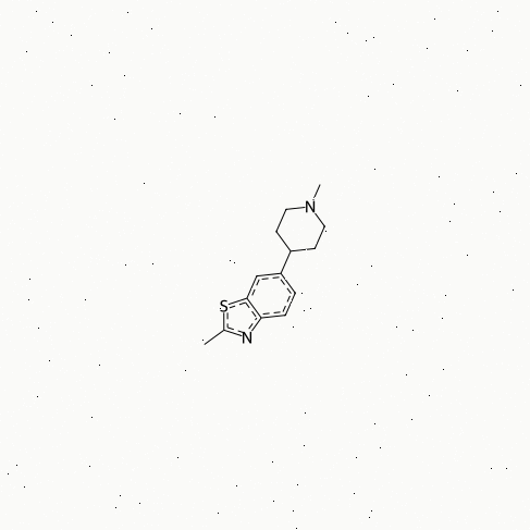 Cc1nc2ccc(C3CCN(C)CC3)cc2s1